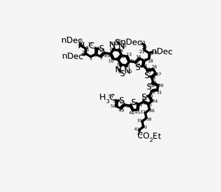 CCCCCCCCCCCCC(CCCCCCCCCC)Cc1cc(-c2cc3c(cc(-c4cc(CC(CCCCCCCCCC)CCCCCCCCCCCC)c(-c5ccc(-c6ccc(-c7cc(CCCCCCC(=O)OCC)c(-c8ccc(-c9ccc(C)s9)s8)s7)s6)s5)s4)c4nsnc43)c3nsnc23)sc1C